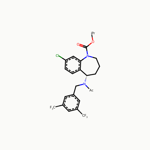 CC(=O)N(Cc1cc(C(F)(F)F)cc(C(F)(F)F)c1)[C@H]1CCCN(C(=O)OC(C)C)c2cc(Cl)ccc21